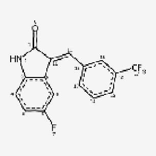 O=C1Nc2ccc(F)cc2/C1=C\c1cccc(C(F)(F)F)c1